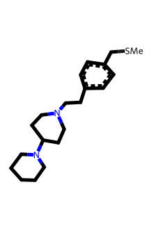 CSCc1ccc(CCN2CCC(N3CCCCC3)CC2)cc1